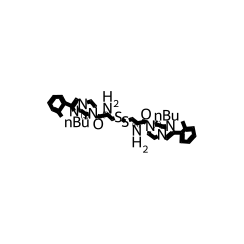 CCCC[C@H]1c2nc(-c3ccccc3C)cn2CCN1C(=O)[C@@H](N)CSSC[C@H](N)C(=O)N1CCn2cc(-c3ccccc3C)nc2[C@@H]1CCCC